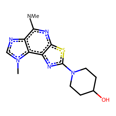 CNc1nc2sc(N3CCC(O)CC3)nc2c2c1ncn2C